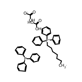 O=C(O)O.O=C([O-])O.[CH2]CCCCCC[P+](c1ccccc1)(c1ccccc1)c1ccccc1.c1ccc(P(c2ccccc2)c2ccccc2)cc1